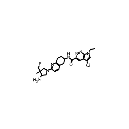 CCn1cc(Cl)c2cc(C(=O)NC3CCc4nc(N5CC(N)C(C)(CF)C5)ccc4C3)nnc21